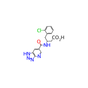 O=C(O)CC(Cc1ccccc1Cl)NC(=O)c1cnc2nn[nH]c2c1